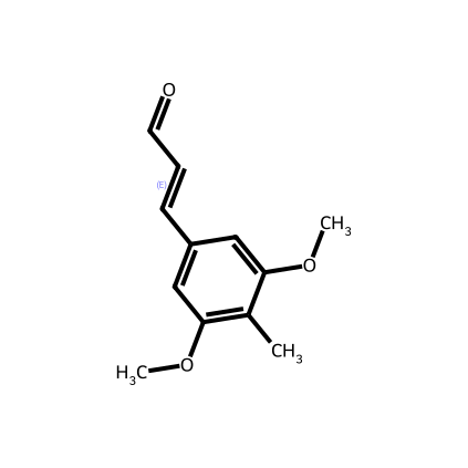 COc1cc(/C=C/C=O)cc(OC)c1C